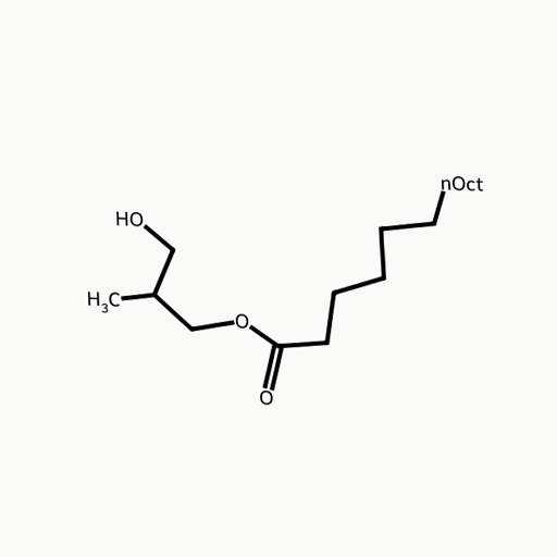 CCCCCCCCCCCCCC(=O)OCC(C)CO